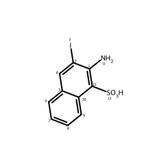 Nc1c(I)cc2ccccc2c1S(=O)(=O)O